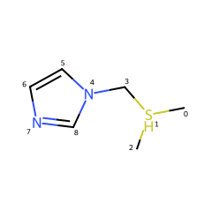 C[SH](C)Cn1ccnc1